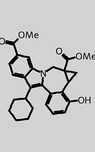 COC(=O)c1ccc2c(C3CCCCC3)c3n(c2c1)CC1(C(=O)OC)CC1c1c(O)cccc1-3